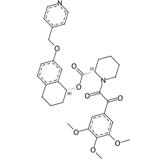 COc1cc(C(=O)C(=O)N2CCCC[C@H]2C(=O)O[C@@H]2CCCc3ccc(OCc4ccncc4)cc32)cc(OC)c1OC